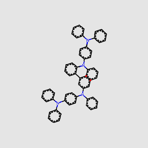 c1ccc(N(c2ccccc2)c2ccc(N(c3ccccc3)c3cccc(-c4ccccc4N(c4ccccc4)c4ccc(N(c5ccccc5)c5ccccc5)cc4)c3)cc2)cc1